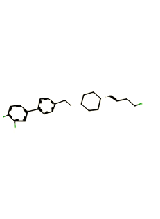 FCC/C=C/[C@H]1CC[C@H](CCc2ccc(-c3ccc(F)c(F)c3)cc2)CC1